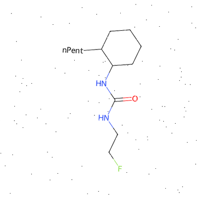 CCCCCC1CCCCC1NC(=O)NCCF